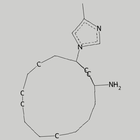 Cc1cn(C23CCCCCCCCCCCC(N)(C2)C3)cn1